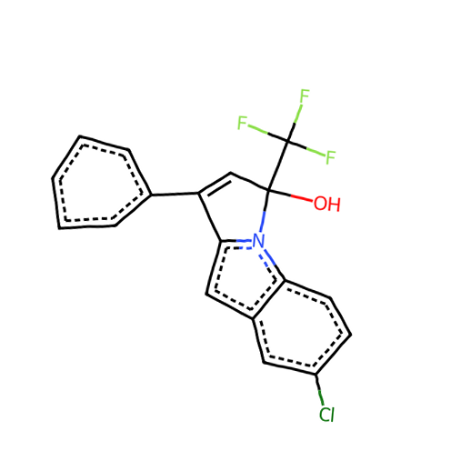 OC1(C(F)(F)F)C=C(c2ccccc2)c2cc3cc(Cl)ccc3n21